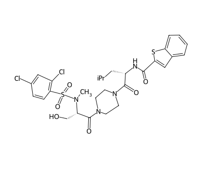 CC(C)C[C@H](NC(=O)c1cc2ccccc2s1)C(=O)N1CCN(C(=O)[C@H](CO)N(C)S(=O)(=O)c2ccc(Cl)cc2Cl)CC1